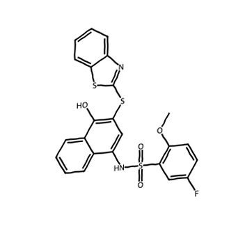 COc1ccc(F)cc1S(=O)(=O)Nc1cc(Sc2nc3ccccc3s2)c(O)c2ccccc12